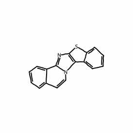 c1ccc2c(c1)ccn1c2nc2sc3ccccc3c21